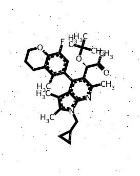 CC(=O)[C@@H](OC(C)(C)C)c1c(C)nc2c(c(C)c(C)n2CC2CC2)c1-c1cc(F)c2c(c1C)CCCO2